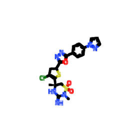 CN1C(=N)N[C@](C)(C2=C(Cl)CC(c3nnc(-c4ccc(-n5cccn5)cc4)o3)S2)CS1(=O)=O